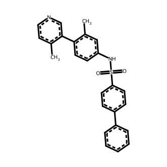 Cc1cc(NS(=O)(=O)c2ccc(-c3ccccc3)cc2)ccc1-c1cnccc1C